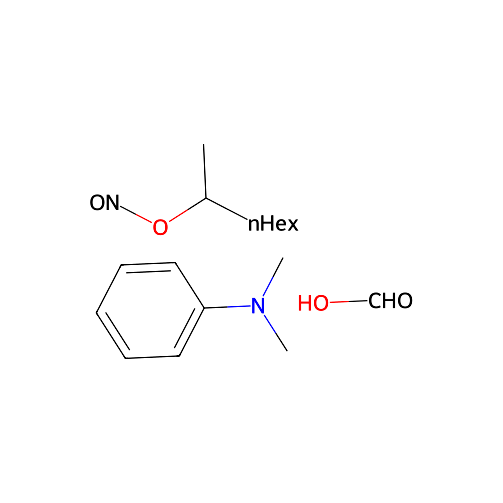 CCCCCCC(C)ON=O.CN(C)c1ccccc1.O=CO